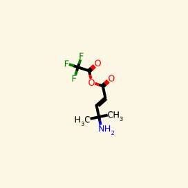 CC(C)(N)/C=C/C(=O)OC(=O)C(F)(F)F